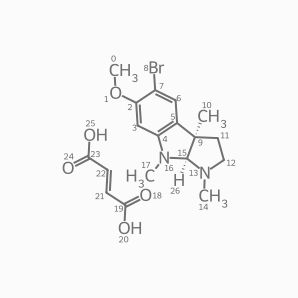 COc1cc2c(cc1Br)[C@@]1(C)CCN(C)[C@H]1N2C.O=C(O)/C=C/C(=O)O